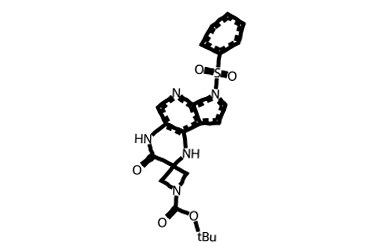 CC(C)(C)OC(=O)N1CC2(C1)Nc1c(cnc3c1ccn3S(=O)(=O)c1ccccc1)NC2=O